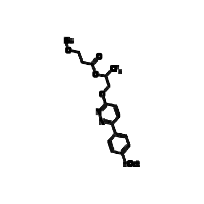 CCCCCCCCc1ccc(-c2ccc(OCC(OC(=O)CCOC(C)CC)C(F)(F)F)nn2)cc1